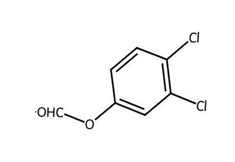 O=[C]Oc1ccc(Cl)c(Cl)c1